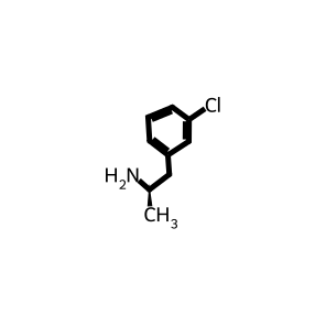 C[C@@H](N)Cc1cccc(Cl)c1